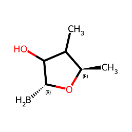 B[C@H]1O[C@H](C)C(C)C1O